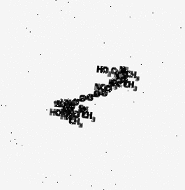 Cc1ncsc1-c1ccc([C@H](C)NC(=O)[C@@H]2C[C@@H](O)CN2C(=O)[C@@H](NC(=O)COCCOCCOCCOCCOc2ccc(-c3ccc(C4=N[C@@H](CC(=O)O)c5nnc(C)n5-c5sc(C)c(C)c54)cc3)cc2C#N)C(C)(C)C)cc1